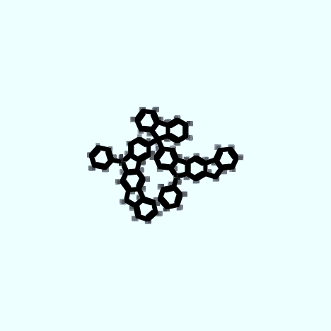 c1ccc(-n2c3ccc(C4(c5ccc6c(c5)c5cc7c(cc5n6-c5ccccc5)Cc5ccccc5-7)c5ccccc5-c5ccccc54)cc3c3cc4c(cc32)Cc2ccccc2-4)cc1